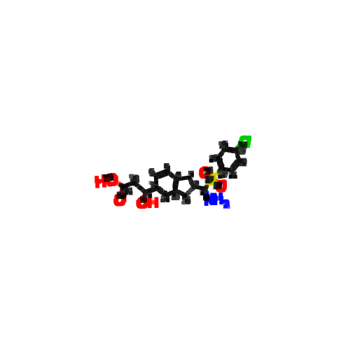 NC(C1Cc2ccc(C(O)CC(=O)O)cc2C1)S(=O)(=O)c1ccc(Cl)cc1